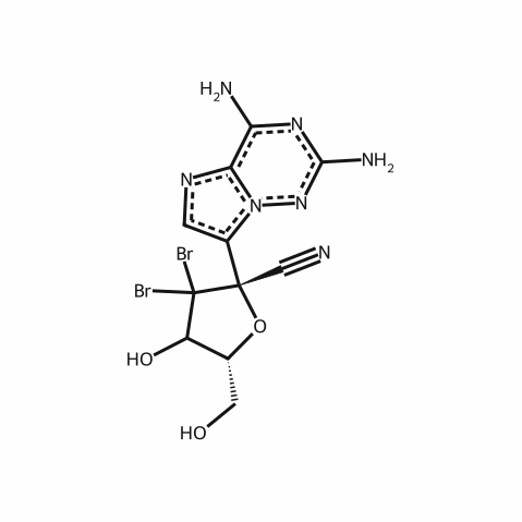 N#C[C@@]1(c2cnc3c(N)nc(N)nn23)O[C@H](CO)C(O)C1(Br)Br